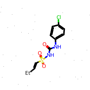 CC/C=C/S(=O)(=O)NC(=O)Nc1ccc(Cl)cc1